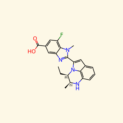 CC[C@@H]1[C@H](C)Nc2cccc3cc(-c4nc5cc(C(=O)O)cc(F)c5n4C)n1c23